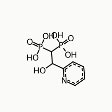 O=P(O)(O)C(C(O)c1ccccn1)P(=O)(O)O